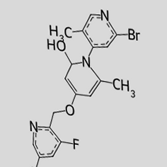 CC1=CC(OCc2ncc(F)cc2F)=CC(O)N1c1cc(Br)ncc1C